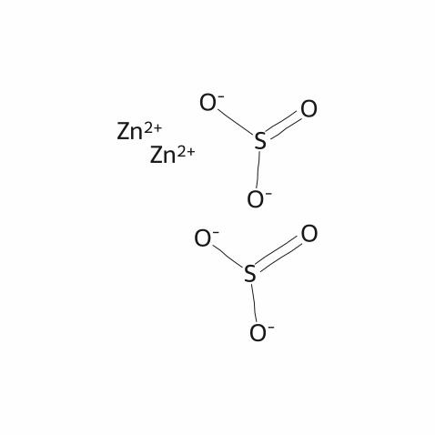 O=S([O-])[O-].O=S([O-])[O-].[Zn+2].[Zn+2]